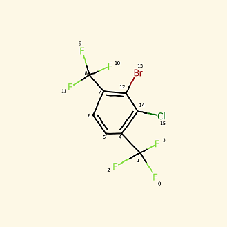 FC(F)(F)c1[c]cc(C(F)(F)F)c(Br)c1Cl